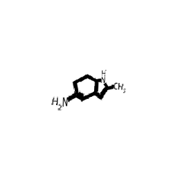 Cc1cc2c([nH]1)CCC(N)=C2